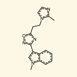 Cc1nccn1CCc1nc(-c2cn(C)c3ccccc23)no1